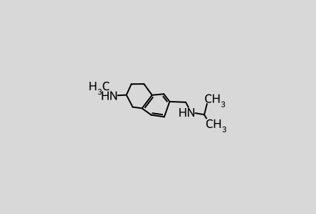 CNC1CCc2cc(CNC(C)C)ccc2C1